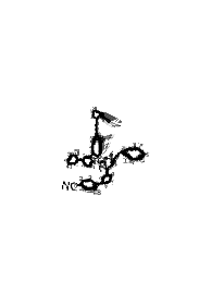 N#Cc1ccc(-c2cccc(-c3cc(-c4ccccc4)nc(-n4c5ccc(-c6ccccc6)cc5c5cc(-c6ccccc6)ccc54)n3)c2)cc1